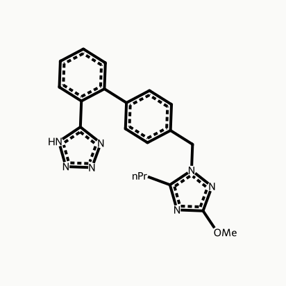 CCCc1nc(OC)nn1Cc1ccc(-c2ccccc2-c2nnn[nH]2)cc1